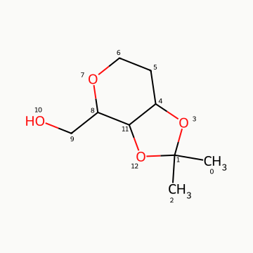 CC1(C)OC2CCOC(CO)C2O1